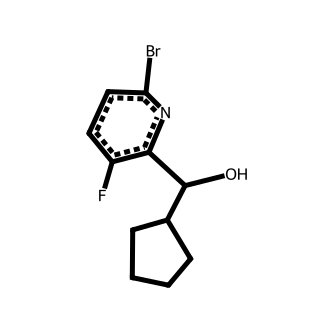 OC(c1nc(Br)ccc1F)C1CCCC1